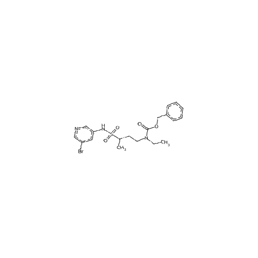 CCN(CCC(C)S(=O)(=O)Nc1cncc(Br)c1)C(=O)OCc1ccccc1